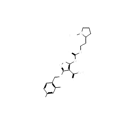 Cc1ccc(COc2nsc(NC(=O)NCCC3CCCN3C)c2C(N)=O)c(F)c1